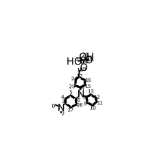 CN(C)c1ccc(N(c2ccccc2)c2ccc(COP(=O)(O)O)cc2)cc1